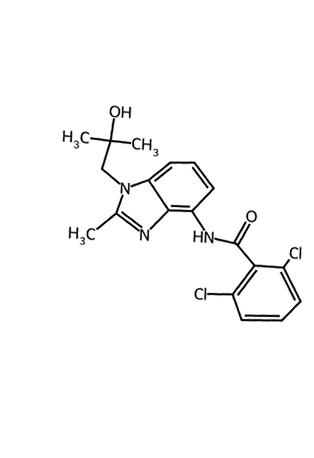 Cc1nc2c(NC(=O)c3c(Cl)cccc3Cl)cccc2n1CC(C)(C)O